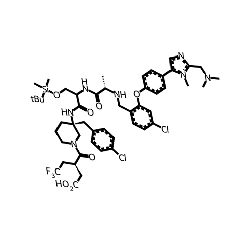 C[C@H](NCc1ccc(Cl)cc1Oc1ccc(-c2cnc(CN(C)C)n2C)cc1)C(=O)NC(CO[Si](C)(C)C(C)(C)C)C(=O)N[C@@]1(Cc2ccc(Cl)cc2)CCCN(C(=O)[C@@H](CC(=O)O)CC(F)(F)F)C1